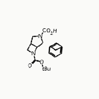 CC(C)(C)OC(=O)N1CC2CN(C(=O)O)CC21.c1cc2cc(c1)C2